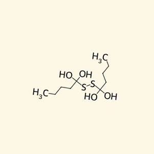 CCCCC(O)(O)SSC(O)(O)CCCC